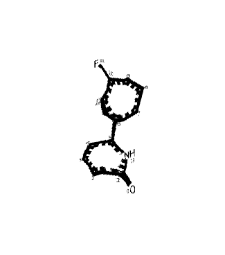 O=c1cccc(-c2cc[c]c(F)c2)[nH]1